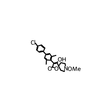 CON1CCC2(CC1)OC(=O)C(c1c(C)cc(-c3ccc(Cl)cc3)cc1C)=C2O